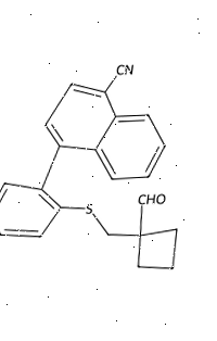 N#Cc1ccc(-c2cnccc2SCC2(C=O)CCC2)c2ccccc12